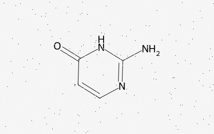 Nc1nc[c]c(=O)[nH]1